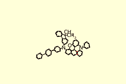 CC1(C)c2ccccc2-c2cc(N(c3ccc(-c4ccc(-c5ccccc5)cc4)cc3)c3ccc4cccc5c4c3Oc3cccc(N(c4ccccc4)c4ccccc4)c3-5)ccc21